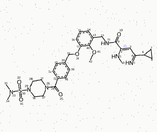 CN/C(=C\C(=N)C1CC1)C(=O)NCc1cccc(OCc2ccc(C(=O)N3CCN(S(=O)(=O)N(C)C)CC3)cc2)c1OC